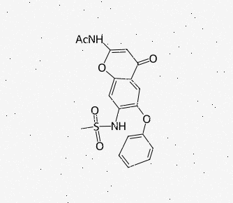 CC(=O)Nc1cc(=O)c2cc(Oc3ccccc3)c(NS(C)(=O)=O)cc2o1